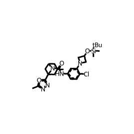 Cc1nnc(C23CC(C)CC(C2)N3C(=O)Nc2ccc(Cl)c(N3CC(O[Si](C)(C)C(C)(C)C)C3)c2)o1